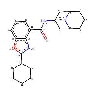 CN1C2CCCC1CC(NC(=O)c1cccc3oc(C4CCCCC4)nc13)C2